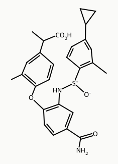 Cc1cc(C(C)C(=O)O)ccc1Oc1ccc(C(N)=O)cc1N[S+]([O-])c1ccc(C2CC2)cc1C